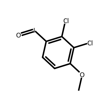 COc1ccc(I=O)c(Cl)c1Cl